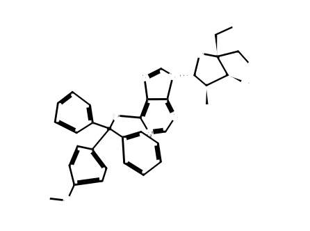 CC[C@]1(CO)O[C@@H](n2cnc3c(NC(c4ccccc4)(c4ccccc4)c4ccc(OC)cc4)ncnc32)[C@H](F)[C@@H]1O